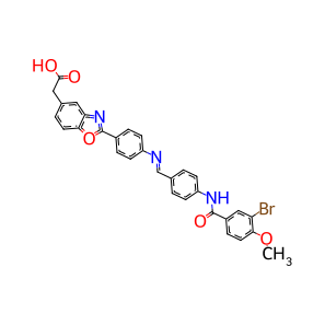 COc1ccc(C(=O)Nc2ccc(/C=N/c3ccc(-c4nc5cc(CC(=O)O)ccc5o4)cc3)cc2)cc1Br